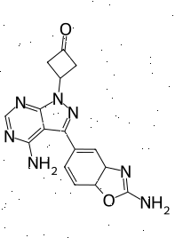 NC1=NC2C=C(c3nn(C4CC(=O)C4)c4ncnc(N)c34)C=CC2O1